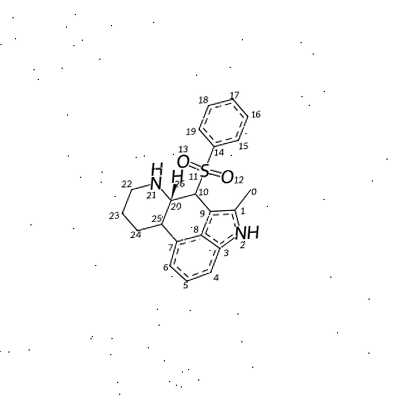 Cc1[nH]c2cccc3c2c1C(S(=O)(=O)c1ccccc1)[C@H]1NCCCC31